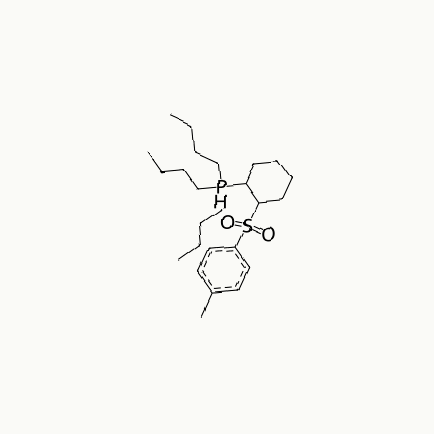 CCCC[PH](CCCC)(CCCC)C1CCCCC1S(=O)(=O)c1ccc(C)cc1